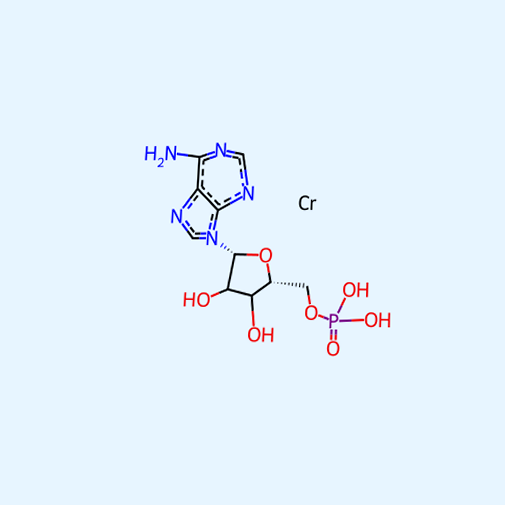 Nc1ncnc2c1ncn2[C@@H]1O[C@H](COP(=O)(O)O)C(O)C1O.[Cr]